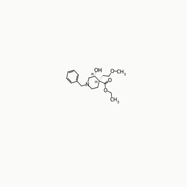 CCOC(=O)[C@@]1(CCOC)CCN(Cc2ccccc2)C[C@@H]1O